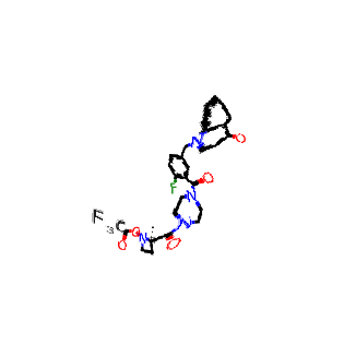 C[C@]1(C(=O)N2CCN(C(=O)c3cc(Cn4ccc(=O)c5ccccc54)ccc3F)CC2)CCN1OC(=O)C(F)(F)F